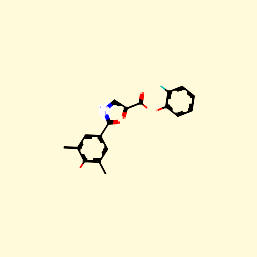 Cc1cc(-c2ncc(C(=O)Oc3ccccc3F)o2)cc(C)c1O